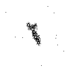 Cc1ccc(S(=O)(=O)n2cc(C)c3c(Oc4ccc(C[C@@H](NC(=O)OC(C)(C)C)C(=O)Nc5ccccc5)cc4F)ccnc32)cc1